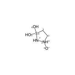 [O-][NH+]1CCS(O)(O)N1